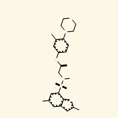 Cc1cc(S(=O)(=O)N(C)CC(=O)Nc2ccc(N3CCOCC3)c(Cl)c2)c2[nH]c(C)cc2c1